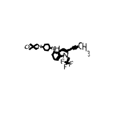 CC#Cc1cc2c(NC3CCC(N4CC5(COC5)C4)CC3)cccc2n1CC(F)(F)F